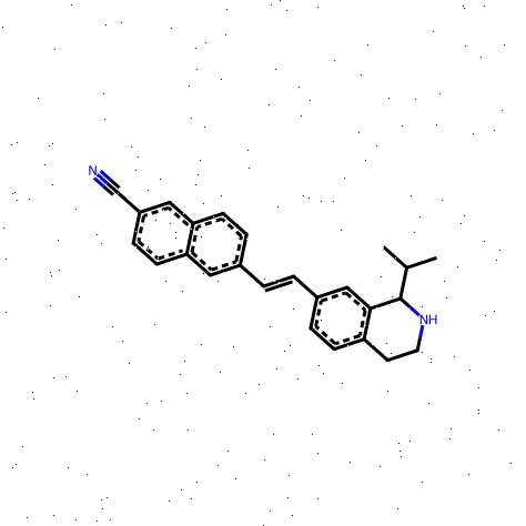 CC(C)C1NCCc2ccc(/C=C/c3ccc4cc(C#N)ccc4c3)cc21